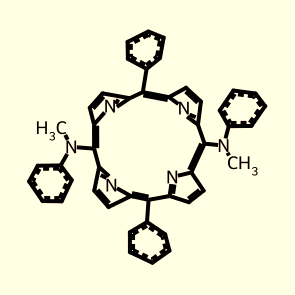 CN(C1=C2C=CC(=N2)C(c2ccccc2)=C2C=CC(=N2)C(N(C)c2ccccc2)=C2C=CC(=N2)C(c2ccccc2)=C2C=CC1=N2)c1ccccc1